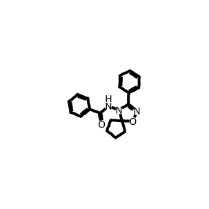 O=C(NN1C(c2ccccc2)=NOC12CCCC2)c1ccccc1